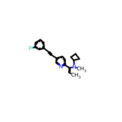 CC=C(c1ccc(C#Cc2cccc(F)c2)cn1)N(C)C1CCC1